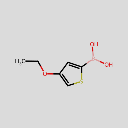 CCOc1csc(B(O)O)c1